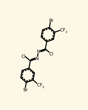 FC(F)(F)c1cc(/C(Cl)=N/N=C(\Cl)c2ccc(Br)c(C(F)(F)F)c2)ccc1Br